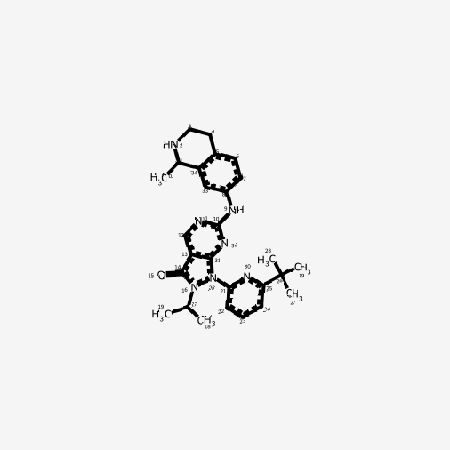 CC1NCCc2ccc(Nc3ncc4c(=O)n(C(C)C)n(-c5cccc(C(C)(C)C)n5)c4n3)cc21